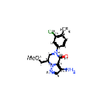 COCC1CN(c2ccc(C(F)(F)F)c(Cl)c2)C(=O)c2c(N)cnn21